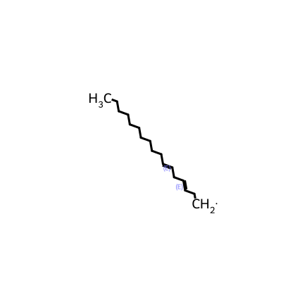 [CH2]C/C=C/C/C=C/CCCCCCCCCC